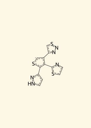 [c]1sc(-c2cc[nH]n2)c(-c2nccs2)c1-c1csnn1